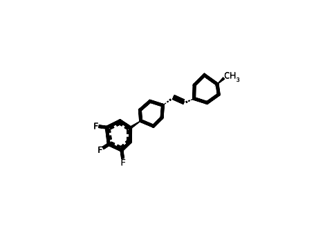 C[C@H]1CC[C@H](C=C[C@H]2CC[C@H](c3cc(F)c(F)c(F)c3)CC2)CC1